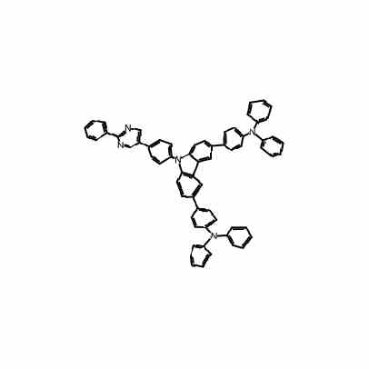 c1ccc(-c2ncc(-c3ccc(-n4c5ccc(-c6ccc(N(c7ccccc7)c7ccccc7)cc6)cc5c5cc(-c6ccc(N(c7ccccc7)c7ccccc7)cc6)ccc54)cc3)cn2)cc1